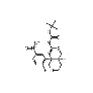 C[C@H]1SC(NC(=O)OC(C)(C)C)=N[C@@]2(c3cc([N+](=O)[O-])ccc3F)COCC[C@@H]12